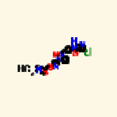 Cc1ncc(Cl)cc1C(=O)NC1CCC(Cn2c(=O)n(-c3ccc(OCC4CN(C(=O)O)CCO4)nc3)c3ccccc32)CC1